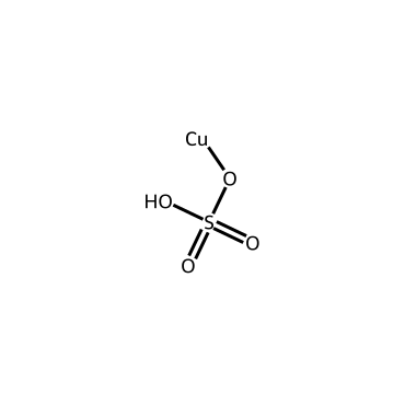 O=S(=O)(O)[O][Cu]